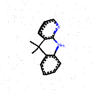 CC1(C)c2ccccc2Nc2ncccc21